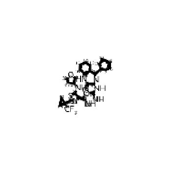 N=C(N[C@H]1N=C(c2ccccc2)c2ccccc2NC1=O)OC(=N)c1nc(C2(C(F)(F)F)CC2)sc1N[C@@H]1CCOC1